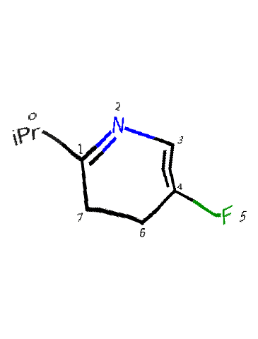 CC(C)C1=NC=C(F)CC1